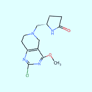 COc1nc(Cl)nc2c1CN(C[C@@H]1CCC(=O)N1)CC2